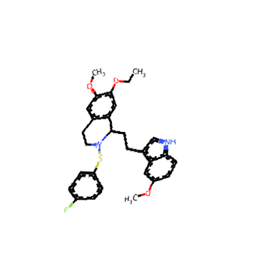 CCOc1cc2c(cc1OC)CCN(Sc1ccc(F)cc1)C2CCc1c[nH]c2ccc(OC)cc12